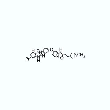 CC(C)c1cccc(Nc2nc3cc(Oc4ccnc(NC(=O)CCC5CCN(C)CC5)c4)ccc3n2C)c1